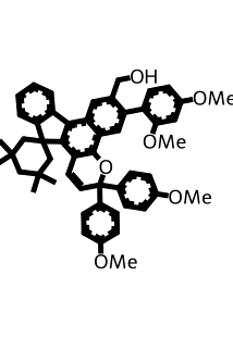 COc1ccc(C2(c3ccc(OC)cc3)C=Cc3c4c(c5cc(CO)c(-c6ccc(OC)cc6OC)cc5c3O2)-c2ccccc2C42CC(C)(C)CC(C)(C)C2)cc1